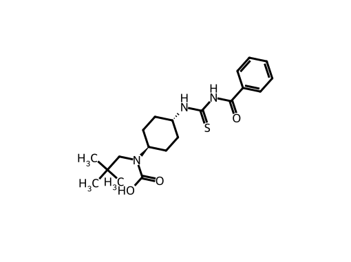 CC(C)(C)CN(C(=O)O)[C@H]1CC[C@H](NC(=S)NC(=O)c2ccccc2)CC1